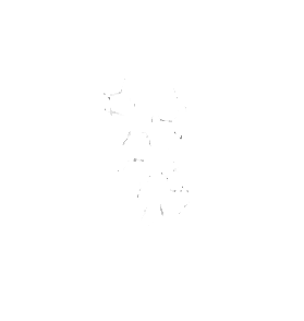 C=C(C)c1csc2ccnc(N(C(=O)c3ccc(-c4nnc(C)s4)cc3F)[C@@H]3CCCN(C(=O)OC(C)(C)C)C3)c12